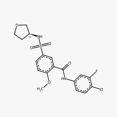 COc1ccc(S(=O)(=O)N[C@H]2CCOC2)cc1C(=O)Nc1ccc(Cl)c(F)c1